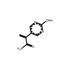 C=C(C(N)=O)c1cnc(OC)nc1